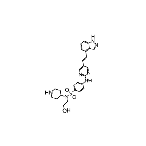 O=S(=O)(c1ccc(Nc2ncc(C=Cc3cccc4[nH]ncc34)cn2)cc1)N(CCO)C1CCNCC1